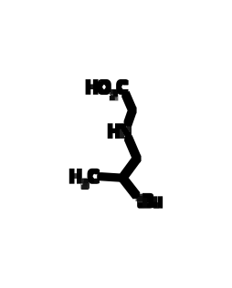 CC(CNCC(=O)O)C(C)(C)C